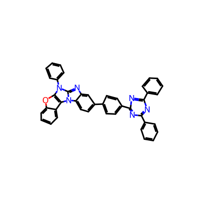 c1ccc(-c2nc(-c3ccccc3)nc(-c3ccc(-c4ccc5c(c4)nc4n(-c6ccccc6)c6oc7ccccc7c6n54)cc3)n2)cc1